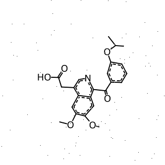 COc1cc2c(CC(=O)O)cnc(C(=O)c3cccc(OC(C)C)c3)c2cc1OC